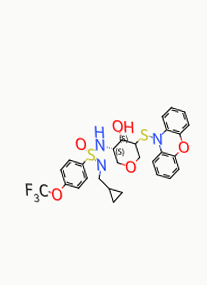 O=S(=NCC1CC1)(N[C@H]1COCC(SN2c3ccccc3Oc3ccccc32)[C@H]1O)c1ccc(OC(F)(F)F)cc1